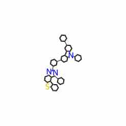 c1ccc(-c2ccc3c(c2)c2cc(-c4cccc(-c5nc(-c6ccccc6)c6c(ccc7sc8ccccc8c76)n5)c4)ccc2n3-c2ccccc2)cc1